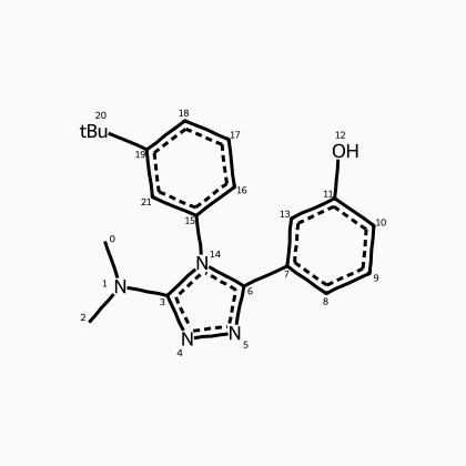 CN(C)c1nnc(-c2cccc(O)c2)n1-c1cccc(C(C)(C)C)c1